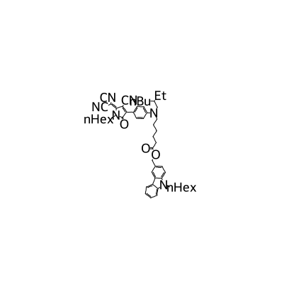 CCCCCCN1C(=O)C(c2ccc(N(CCCCCC(=O)OCc3ccc4c(c3)c3ccccc3n4CCCCCC)CC(CC)CCCC)cc2)=C(C#N)C1=C(C#N)C#N